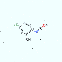 N#Cc1cc(Cl)ccc1N=C=O